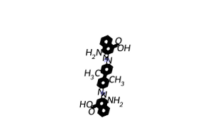 Cc1cc(/N=N/c2cc(C(=O)O)c3ccccc3c2N)ccc1-c1ccc(/N=N/c2cc(C(=O)O)c3ccccc3c2N)cc1C